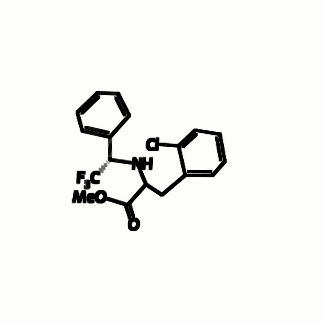 COC(=O)C(Cc1ccccc1Cl)N[C@@H](c1ccccc1)C(F)(F)F